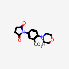 O=C(O)c1cc(N2C(=O)CCC2=O)ccc1N1CCOCC1